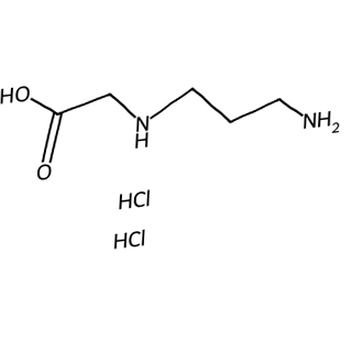 Cl.Cl.NCCCNCC(=O)O